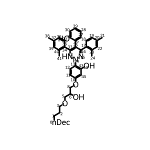 CCCCCCCCCCCCCOCC(O)COc1ccc(N2N=C(c3ccc(C)cc3C)C(c3ccccc3O)=C(c3ccc(C)cc3C)N2)c(O)c1